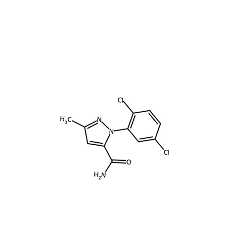 Cc1cc(C(N)=O)n(-c2cc(Cl)ccc2Cl)n1